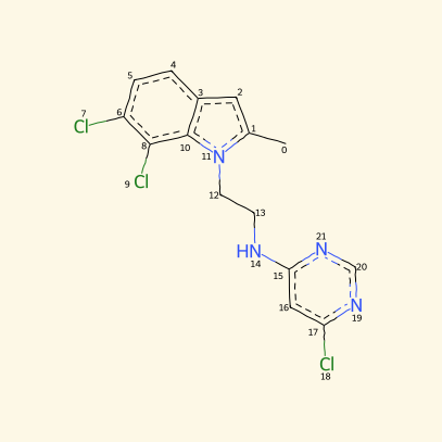 Cc1cc2ccc(Cl)c(Cl)c2n1CCNc1cc(Cl)ncn1